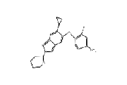 Nc1ccc(Oc2cc3cn(C4CCCCO4)nc3cc2C2CC2)c(F)c1